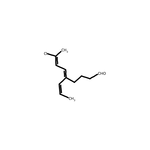 C\C=C/C(=C\C=C(/C)Cl)CCCC=O